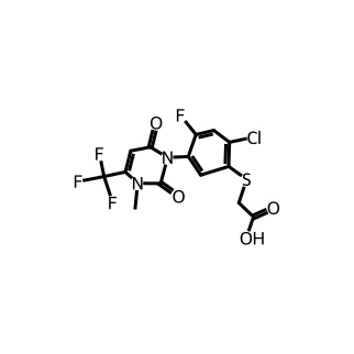 Cn1c(C(F)(F)F)cc(=O)n(-c2cc(SCC(=O)O)c(Cl)cc2F)c1=O